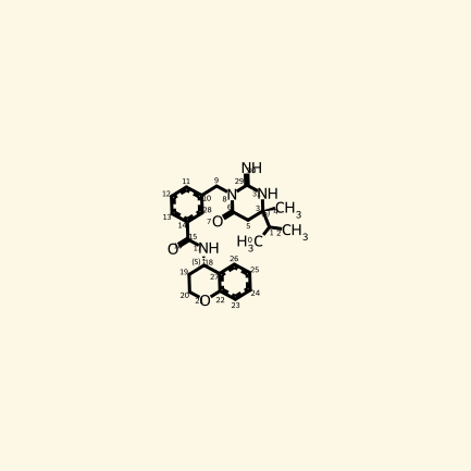 CC(C)[C@]1(C)CC(=O)N(Cc2cccc(C(=O)N[C@H]3CCOc4ccccc43)c2)C(=N)N1